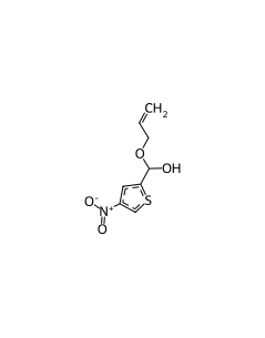 C=CCOC(O)c1cc([N+](=O)[O-])cs1